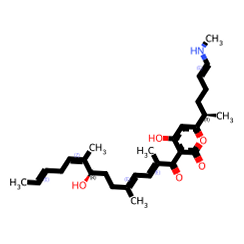 C/C=C/C/C=C(/C)[C@H](O)CC/C(C)=C/C=C(\C)C(=O)c1c(O)cc([C@H](C)CC/C=C/NC)oc1=O